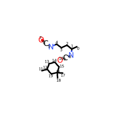 CC(CCCN=C=O)N=C=O.CC1CCCC(C)(C)C1